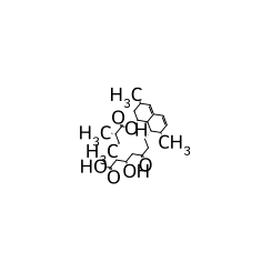 CC[C@H](C)C(=O)O[C@H]1C[C@@H](C)C=C2C=C[C@H](C)[C@H](CCC(=O)C[C@@H](O)CC(=O)O)[C@H]21